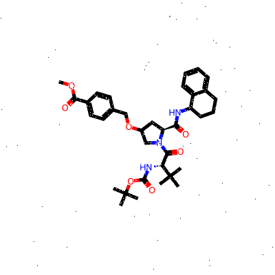 COC(=O)c1ccc(COC2C[C@@H](C(=O)NC3CCCc4ccccc43)N(C(=O)[C@@H](NC(=O)OC(C)(C)C)C(C)(C)C)C2)cc1